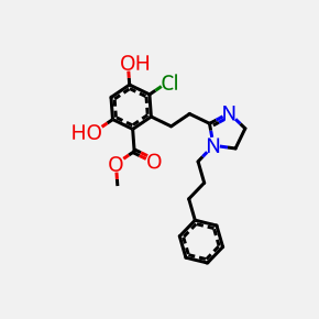 COC(=O)c1c(O)cc(O)c(Cl)c1CCC1=NCCN1CCCc1ccccc1